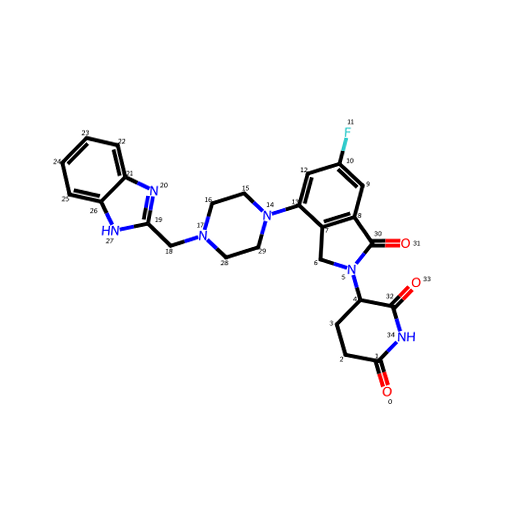 O=C1CCC(N2Cc3c(cc(F)cc3N3CCN(Cc4nc5ccccc5[nH]4)CC3)C2=O)C(=O)N1